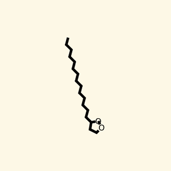 CCCCCCCCCCCCCCC1CCOO1